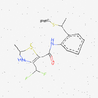 CCCC(C)SC(C)c1ccccc1NC(=O)C1=C(C(F)F)NC(C)S1